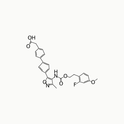 COc1ccc(CCOC(=O)Nc2c(C)noc2-c2ccc(-c3ccc(CC(=O)O)cc3)cc2)c(F)c1